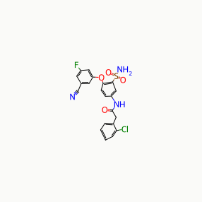 N#Cc1cc(F)cc(Oc2ccc(NC(=O)Cc3ccccc3Cl)cc2S(N)(=O)=O)c1